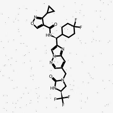 O=C(N[C@H](c1cn2ncc(CN3C[C@@H](C(F)(F)F)NC3=O)cc2n1)C1CCC(F)(F)CC1)c1conc1C1CC1